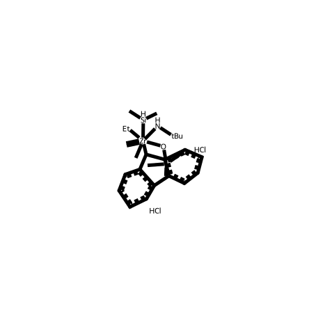 Cl.Cl.[CH2]=[Zr]([CH3])([CH2]C)([NH]C(C)(C)C)([O][Si](C)(C)C)([CH]1c2ccccc2-c2ccccc21)[SiH](C)C